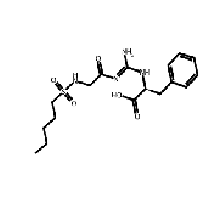 CCCCCS(=O)(=O)NCC(=O)N=C(N)N[C@@H](Cc1ccccc1)C(=O)O